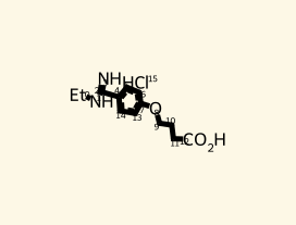 CCNC(=N)c1ccc(OCCCC(=O)O)cc1.Cl